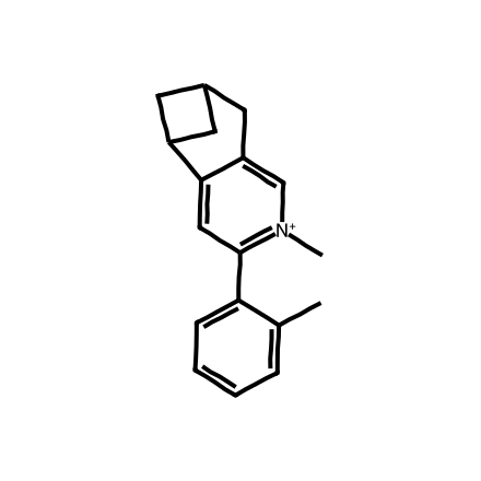 Cc1ccccc1-c1cc2c(c[n+]1C)CC1CC2C1